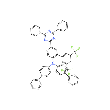 FC(F)(F)c1cc(-c2cc(-c3nc(-c4ccccc4)nc(-c4ccccc4)n3)ccc2-n2c3ccc(-c4ccccc4)cc3c3cc(-c4ccccc4)ccc32)cc(C(F)(F)F)c1